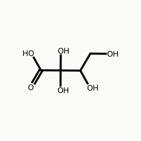 O=C(O)C(O)(O)C(O)CO